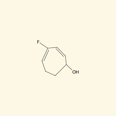 OC1C=CC(F)=CCC1